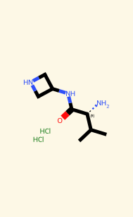 CC(C)[C@@H](N)C(=O)NC1CNC1.Cl.Cl